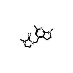 Cc1cc(CN2CCN(C)C2=O)c2c(n1)N(C)CC2